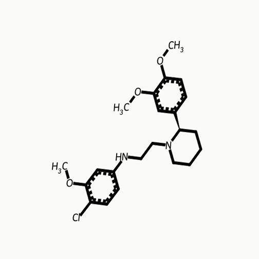 COc1cc(NCCN2CCCC[C@@H]2c2ccc(OC)c(OC)c2)ccc1Cl